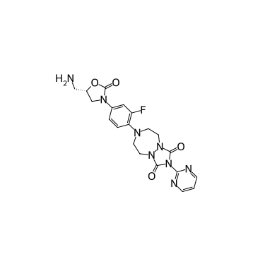 NC[C@H]1CN(c2ccc(N3CCn4c(=O)n(-c5ncccn5)c(=O)n4CC3)c(F)c2)C(=O)O1